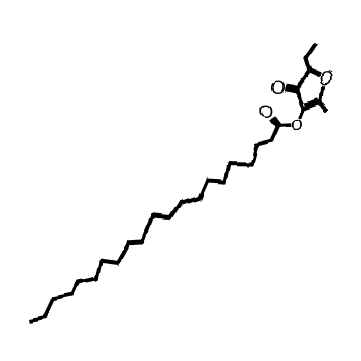 CCCCCCCCCCCCCCCCCCCCC(=O)OC1=C(C)OC(CC)C1=O